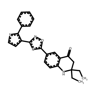 CCC1(CC)CC(=O)c2cc(-c3nc(-c4ccsc4-c4ccccc4)no3)ccc2N1